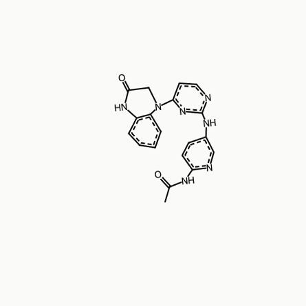 CC(=O)Nc1ccc(Nc2nccc(N3CC(=O)Nc4ccccc43)n2)cn1